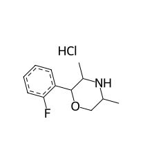 CC1COC(c2ccccc2F)C(C)N1.Cl